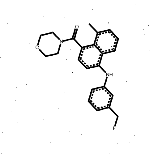 Cc1cccc2c(Nc3cccc(CF)c3)ccc(C(=O)N3CCOCC3)c12